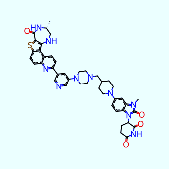 C[C@@H]1CNc2c(sc3ccc4nc(-c5cncc(N6CCN(CC7CCN(c8ccc9c(c8)n(C)c(=O)n9C8CCC(=O)NC8=O)CC7)CC6)c5)ccc4c23)C(=O)N1